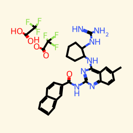 Cc1ccc2nc(NC(=O)c3ccc4ccccc4c3)nc(NC3CCCCC3NC(=N)N)c2c1.O=C(O)C(F)(F)F.O=C(O)C(F)(F)F